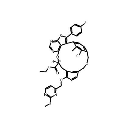 CCOC(=O)[C@H]1Cc2cc(ccc2OCc2ccnc(SC)n2)COCc2ccc(c(C)c2Cl)-c2c(-c3ccc(F)cc3)sc3ncnc(c23)O1